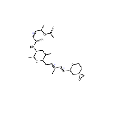 CC(=O)OC(C)/C=C\C(=O)NC1CC(C)C(C/C=C(C)/C=C/C2CC3(CCO2)CO3)OC1C